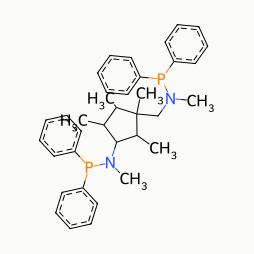 CC1C(N(C)P(c2ccccc2)c2ccccc2)C(C)C(C)(CN(C)P(c2ccccc2)c2ccccc2)C1C